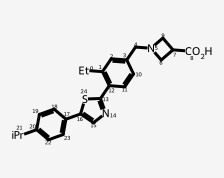 CCc1cc(CN2CC(C(=O)O)C2)ccc1-c1ncc(-c2ccc(C(C)C)cc2)s1